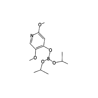 COc1cc(OB(OC(C)C)OC(C)C)c(OC)cn1